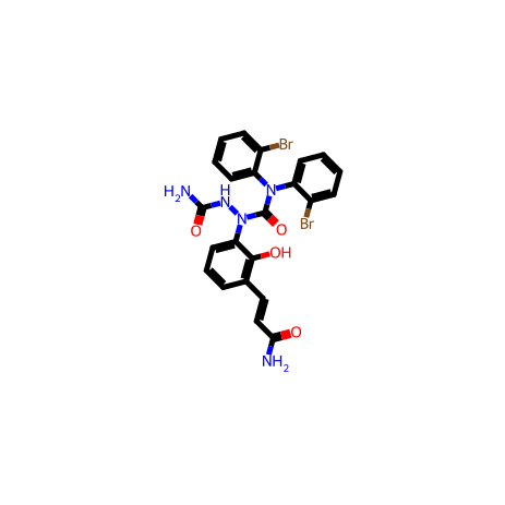 NC(=O)/C=C/c1cccc(N(NC(N)=O)C(=O)N(c2ccccc2Br)c2ccccc2Br)c1O